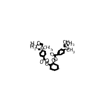 C=C[Si](C)(C=C)c1ccc(C(=O)OO[C]2CC[CH]CC2OOC(=O)c2ccc([Si](C)(C=C)C=C)cc2)cc1